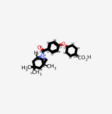 CC1(C)C[C@H]2C[C@](C)(CN2C(=O)c2ccc(OC3CCC(C(=O)O)CC3)cc2)C1